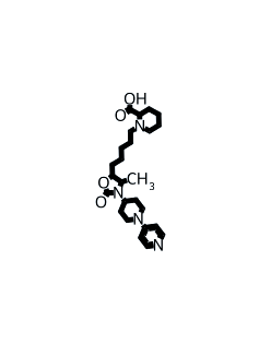 CC1C(CCCCCN2CCCCC2C(=O)O)OC(=O)N1C1CCN(c2ccncc2)CC1